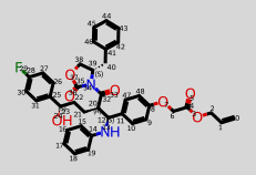 C=CCOC(=O)COc1ccc([C@@H](Nc2ccccc2)[C@@H](CC[C@H](O)c2ccc(F)cc2)C(=O)N2C(=O)OC[C@@H]2Cc2ccccc2)cc1